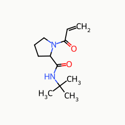 C=CC(=O)N1CCCC1C(=O)NC(C)(C)C